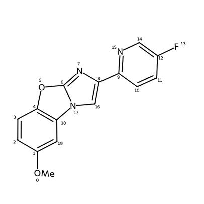 COc1ccc2oc3nc(-c4ccc(F)cn4)cn3c2c1